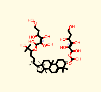 C[C@H](CCC(OC(O)/C(OO)=C(/O)C(O)CCOO)C(C)(C)O)[C@H]1CC[C@@]2(C)C3CC=C4C(CC[C@H](OC(O)OC(O)/C(O)=C(\O)C(O)CCO)C4(C)C)C3(C)CC[C@]12C